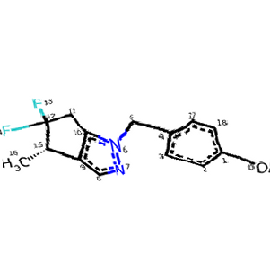 COc1ccc(Cn2ncc3c2CC(F)(F)[C@H]3C)cc1